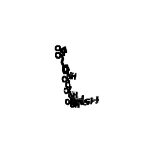 O=C(COCC(=O)Nc1ccc(CCC(=O)N2CCC2=O)cc1)NCC(NC(=O)CCS)C(=O)O